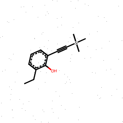 CCc1cccc(C#C[Si](C)(C)C)c1O